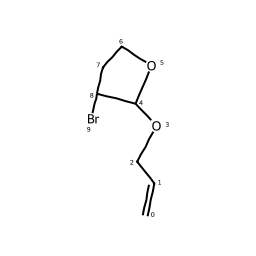 C=CCOC1OCCC1Br